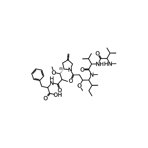 C=C1C[C@@H](C(OC)C(C)C(=O)NC(Cc2ccccc2)C(=O)O)N(C(=O)CC(OC)C(C(C)CC)N(C)C(=O)C(NC(=O)C(NC)C(C)C)C(C)C)C1